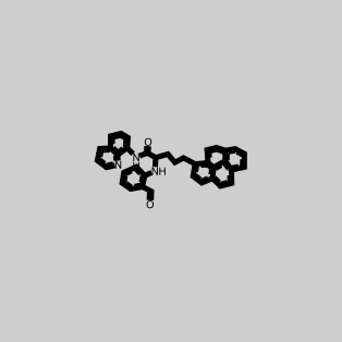 O=Cc1ccccc1NC(CCCc1ccc2ccc3cccc4ccc1c2c34)C(=O)Nc1cccc2cccnc12